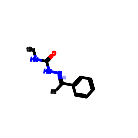 CC/C(=N\NC(=O)NC(C)(C)C)c1ccccc1